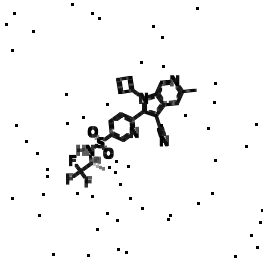 Cc1cc2c(C#N)c(-c3ccc(S(=O)(=O)N[C@H](C)C(F)(F)F)cn3)n(C3=CC=C3)c2cn1